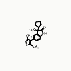 Cc1noc(C)c1-c1ccc2c(c1)C(C)(C1CCCC1)C(=O)N2